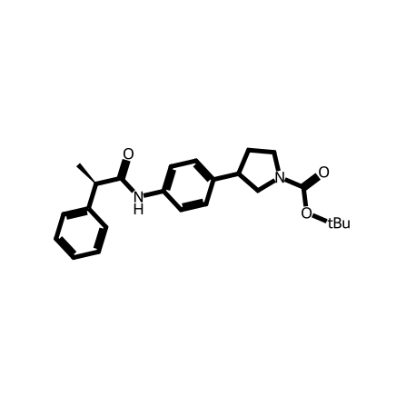 C[C@@H](C(=O)Nc1ccc(C2CCN(C(=O)OC(C)(C)C)C2)cc1)c1ccccc1